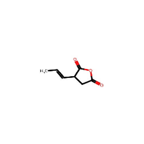 CC=CC1CC(=O)OC1=O